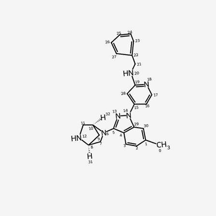 Cc1ccc2c(N3C[C@@H]4C[C@H]3CN4)nn(-c3ccnc(NCc4ccccc4)c3)c2c1